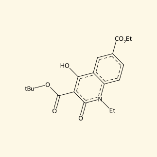 CCOC(=O)c1ccc2c(c1)c(O)c(C(=O)OC(C)(C)C)c(=O)n2CC